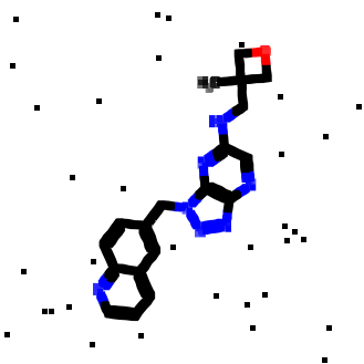 CC1(CNc2cnc3nnn(Cc4ccc5ncccc5c4)c3n2)COC1